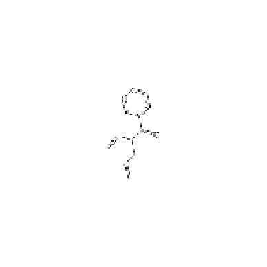 C=CC[C](C=C)C(=O)c1ccccc1